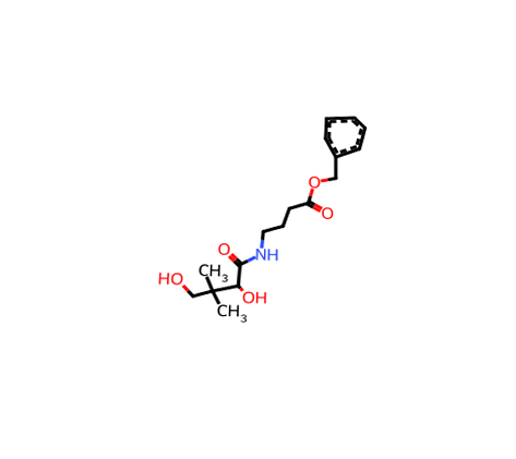 CC(C)(CO)C(O)C(=O)NCCCC(=O)OCc1ccccc1